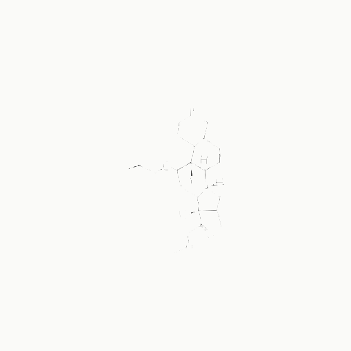 CCCOC1C[C@@]2(C)[C@@H](CC(C)[C@]2(O)C(=O)COC)[C@@H]2CCC3CC(=O)CC[C@]3(C)[C@@]12F